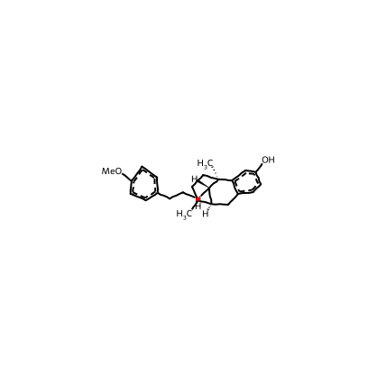 COc1ccc(CCN[C@H]2[C@H]3Cc4ccc(O)cc4[C@]2(C)CCC3C)cc1